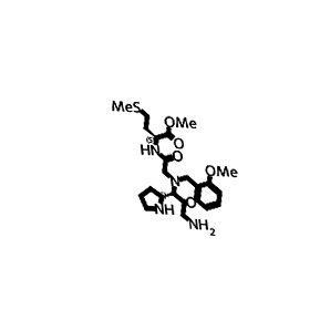 COC(=O)[C@H](CCSC)NC(=O)CN(Cc1ccccc1OC)C(C(=O)CN)[C@@H]1CCCN1